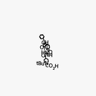 CC(C)(C)C1CC(C(=O)NNC(=O)[C@@H]2CC[C@@H]3CN2C(=O)N3OCc2ccccc2)CCN1C(=O)O